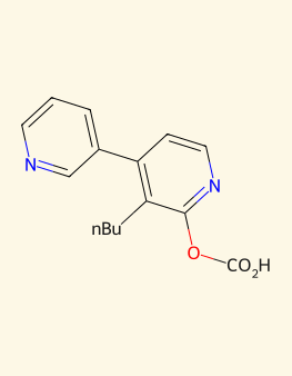 CCCCc1c(-c2cccnc2)ccnc1OC(=O)O